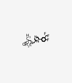 CC(CN(C)Cc1cncc(-c2ccc(F)c(C(F)F)c2)n1)OC=O